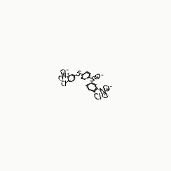 O=[N+]([O-])c1cc(Sc2ccc([S+]([O-])c3ccc(Cl)c([N+](=O)[O-])c3)cc2)ccc1Cl